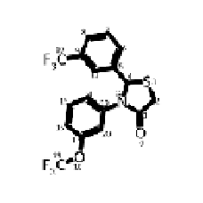 O=C1CSC(c2cccc(C(F)(F)F)c2)N1c1cccc(OC(F)(F)F)c1